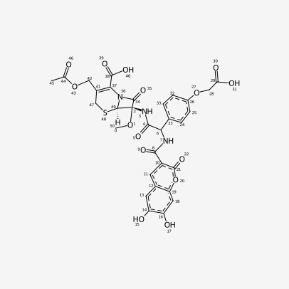 CO[C@@]1(NC(=O)C(NC(=O)c2cc3cc(O)c(O)cc3oc2=O)c2ccc(OCC(=O)O)cc2)C(=O)N2C(C(=O)O)=C(COC(C)=O)CS[C@@H]21